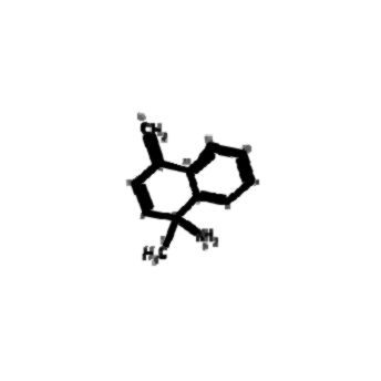 C=C1C=CC(C)(N)c2ccccc21